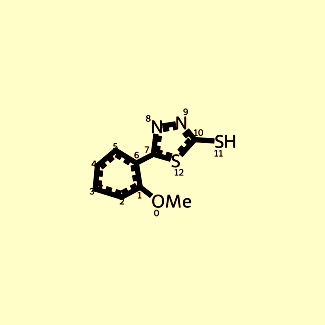 COc1ccccc1-c1nnc(S)s1